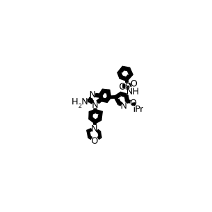 CC(C)Oc1ncc(-c2ccc3nc(N)n(-c4ccc(N5CCOCC5)cc4)c3c2)cc1NS(=O)(=O)c1ccccc1